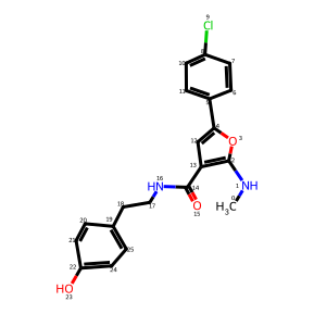 CNc1oc(-c2ccc(Cl)cc2)cc1C(=O)NCCc1ccc(O)cc1